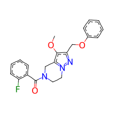 COc1c(COc2ccccc2)nn2c1CN(C(=O)c1ccccc1F)CC2